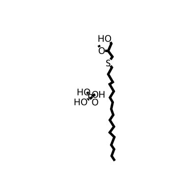 CCCCCCCCCCCCCCCCCSCC(CO)OC.O=P(O)(O)O